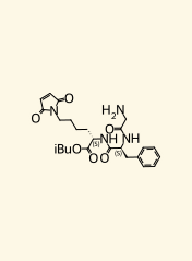 CC(C)COC(=O)[C@H](CCCCN1C(=O)C=CC1=O)NC(=O)[C@H](Cc1ccccc1)NC(=O)CN